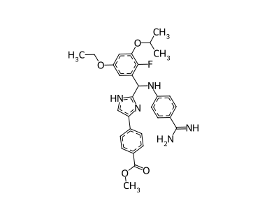 CCOc1cc(OC(C)C)c(F)c(C(Nc2ccc(C(=N)N)cc2)c2nc(-c3ccc(C(=O)OC)cc3)c[nH]2)c1